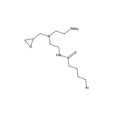 CNCCN(CCNC(=O)CCCCC(C)=O)CC1CO1